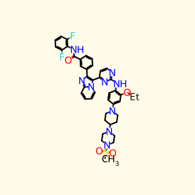 CCOc1cc(N2CCC(N3CCN(S(C)(=O)=O)CC3)CC2)ccc1Nc1nccc(-c2c(-c3cccc(C(=O)Nc4c(F)cccc4F)c3)nc3ccccn23)n1